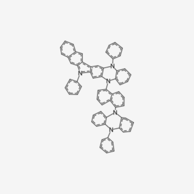 c1ccc(N2c3ccccc3N(c3cccc4c(N5c6ccccc6N(c6ccccc6)c6cc7c8cc9ccccc9cc8n(-c8ccccc8)c7cc65)cccc34)c3ccccc32)cc1